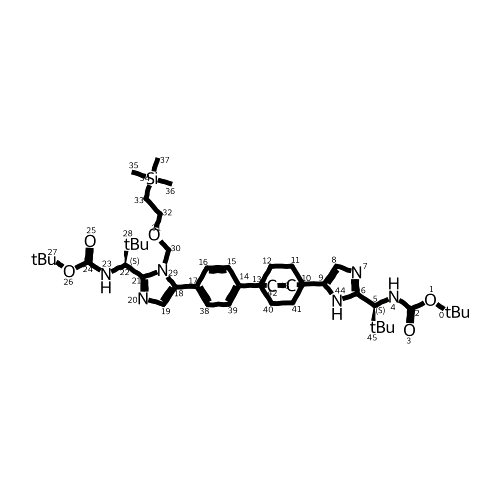 CC(C)(C)OC(=O)N[C@H](c1ncc(C23CCC(c4ccc(-c5cnc([C@@H](NC(=O)OC(C)(C)C)C(C)(C)C)n5COCC[Si](C)(C)C)cc4)(CC2)CC3)[nH]1)C(C)(C)C